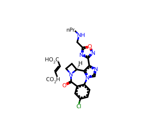 CCCNCc1nc(-c2ncn3c2[C@@H]2CCN2C(=O)c2cc(Cl)ccc2-3)no1.O=C(O)C=CC(=O)O